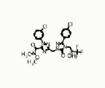 CON(C)C(=O)c1nc(Cn2nc(-c3ccc(Cl)cc3)n(C[C@H](O)C(F)(F)F)c2=O)nn1-c1cccc(Cl)c1